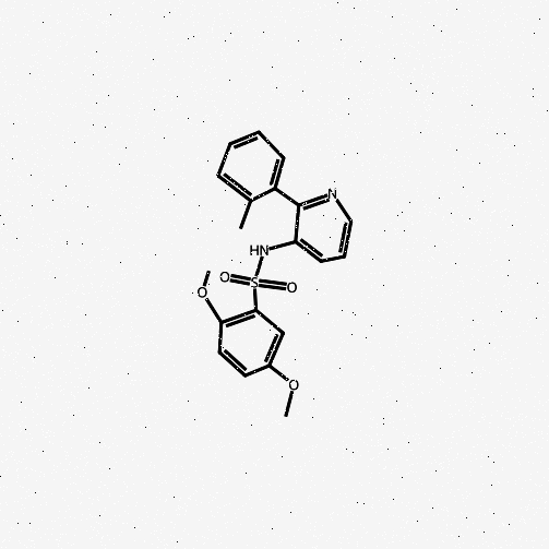 COc1ccc(OC)c(S(=O)(=O)Nc2cccnc2-c2ccccc2C)c1